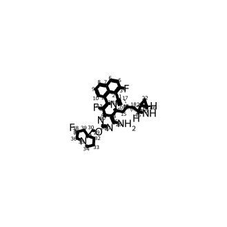 C#Cc1c(F)ccc2cccc(-c3nc(C[C@H](C)[C@H]4[C@H]5N[C@H]6CC465)c4c(N)nc(OC[C@@]56CCCN5C[C@H](F)C6)nc4c3F)c12